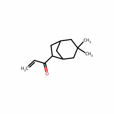 C=CC(=O)C1CC2CC1CC(C)(C)C2